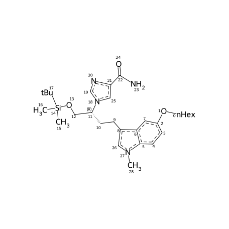 CCCCCCOc1ccc2c(c1)c(CC[C@H](CO[Si](C)(C)C(C)(C)C)n1cnc(C(N)=O)c1)cn2C